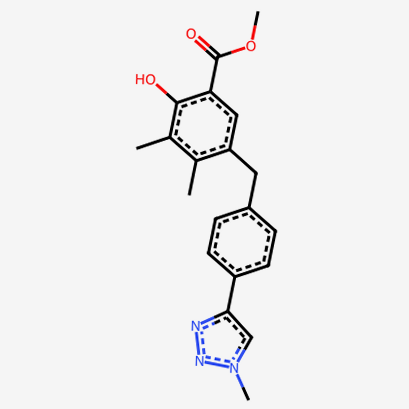 COC(=O)c1cc(Cc2ccc(-c3cn(C)nn3)cc2)c(C)c(C)c1O